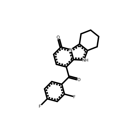 O=C(c1ccc(F)cc1F)c1ccc(=O)n2c3c([nH]c12)CCCC3